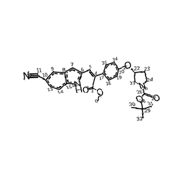 COC(=O)C(=Cc1cc2cc(C#N)ccc2[nH]1)c1ccc(O[C@H]2CCN(C(=O)OC(C)(C)C)C2)cc1